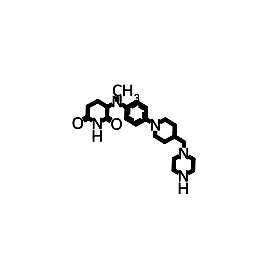 CN(c1ccc(N2CCC(CN3CCNCC3)CC2)cc1)C1CCC(=O)NC1=O